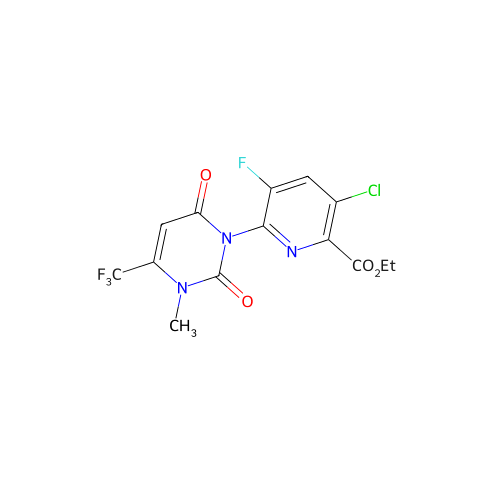 CCOC(=O)c1nc(-n2c(=O)cc(C(F)(F)F)n(C)c2=O)c(F)cc1Cl